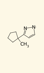 CC1(C2=N[N]C=C2)CCCC1